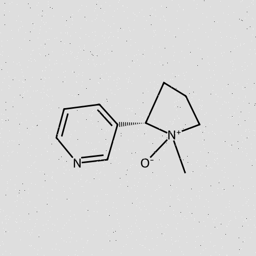 C[N+]1([O-])CCC[C@H]1c1cccnc1